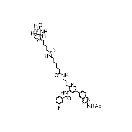 CC(=O)Nc1nc2ccc(-c3cnc(CCCNC(=O)CCCCCNC(=O)CCCC[C@H]4SC[C@H]5NC(=O)N[C@H]54)c(NC(=O)c4cccc(F)c4)c3)cc2s1